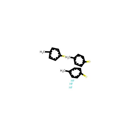 Cc1ccc([S])cc1.Cc1ccc([S])cc1.Cc1ccc([S])cc1.F.F.F